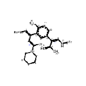 CN/C=C(\C=C(/C)N1CCCCC1)c1cc(/C(=C/NC(C)C)C(C)=N)cnc1C